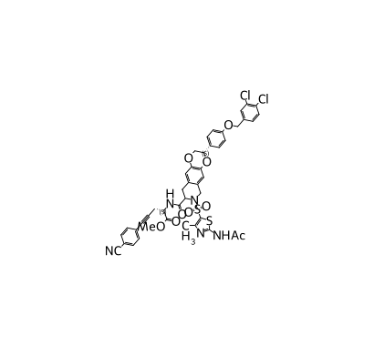 COC(=O)[C@H](CC#Cc1ccc(C#N)cc1)NC(=O)C1Cc2cc3c(cc2CN1S(=O)(=O)c1sc(NC(C)=O)nc1C)O[C@@H](c1ccc(OCc2ccc(Cl)c(Cl)c2)cc1)CO3